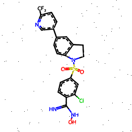 N=C(NO)c1ccc(S(=O)(=O)N2CCc3cc(-c4ccc(C(F)(F)F)nc4)ccc32)cc1Cl